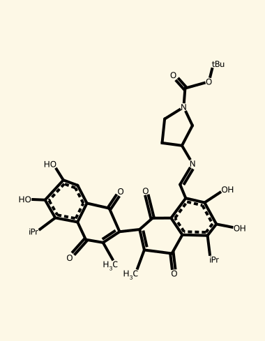 CC1=C(C2=C(C)C(=O)c3c(c(/C=N/C4CCN(C(=O)OC(C)(C)C)C4)c(O)c(O)c3C(C)C)C2=O)C(=O)c2cc(O)c(O)c(C(C)C)c2C1=O